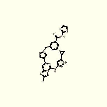 Cc1cn2c(Nc3cc(C4CC4)[nH]n3)nc(-c3cnn(Cc4cccc(C(=O)Nc5nccs5)c4)c3)cc2n1